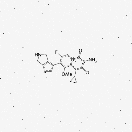 COc1c(-c2csc3c2CNC3)c(F)cn2c(=O)n(N)c(=O)c(C3CC3)c12